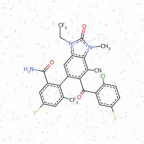 Cn1c(=O)n(CC(F)(F)F)c2cc(-c3c(C(N)=O)cc(F)cc3C(F)(F)F)c(C(=O)c3cc(F)ccc3Cl)c(C#N)c21